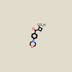 O=C(O)C1CCC1C(=O)c1ccc(N2CCOCC2)cc1